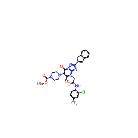 CCc1c(N2CCN(C(=O)OC(C)(C)C)CC2)c(=O)n2nc(C3=Cc4ccccc4C3)nc2n1CC(=O)Nc1ccc(C(F)(F)F)cc1Cl